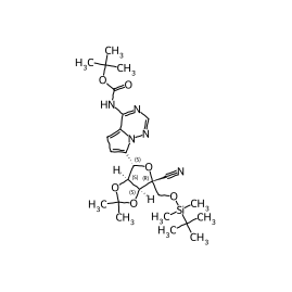 CC(C)(C)OC(=O)Nc1ncnn2c([C@@H]3O[C@](C#N)(CO[Si](C)(C)C(C)(C)C)[C@H]4OC(C)(C)O[C@@H]34)ccc12